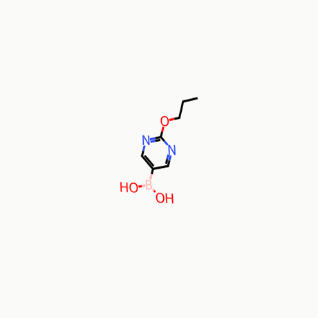 CCCOc1ncc(B(O)O)cn1